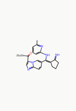 CNC(=O)c1cnc2ccc(/C(Nc3cccc(C)n3)=C3\CCCC3=N)cn12